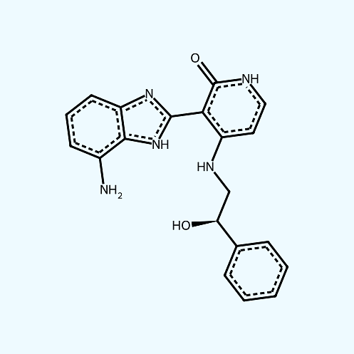 Nc1cccc2nc(-c3c(NC[C@H](O)c4ccccc4)cc[nH]c3=O)[nH]c12